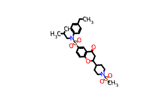 CCc1ccc(N(CC(C)C)S(=O)(=O)c2ccc3c(c2)C(=O)CC(C2CCN(S(C)(=O)=O)CC2)O3)cc1